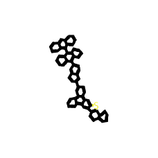 c1ccc2c(-c3c4ccccc4c(-c4ccc5cc(-c6ccc7c(c6)c6ccccc6c6cc8c(cc76)sc6c7ccccc7ccc86)ccc5c4)c4ccccc34)c3ccccc3cc2c1